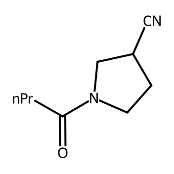 CCCC(=O)N1CCC(C#N)C1